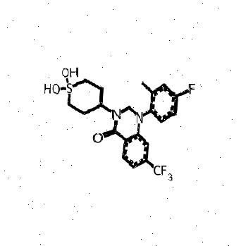 Cc1cc(F)ccc1N1CN(C2CCS(O)(O)CC2)C(=O)c2ccc(C(F)(F)F)cc21